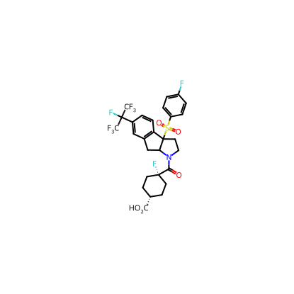 O=C(O)[C@H]1CC[C@](F)(C(=O)N2CCC3(S(=O)(=O)c4ccc(F)cc4)c4ccc(C(F)(C(F)(F)F)C(F)(F)F)cc4CC23)CC1